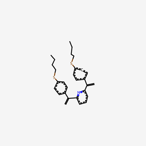 C=C(c1ccc(SCCCC)cc1)c1cccc(C(=C)c2ccc(SCCCC)cc2)n1